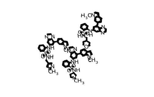 CN1CCC(NS(=O)(=O)c2ccccc2Nc2cc(-c3ccc4ccn(C)c4c3)c3nccnc3c2)C1.Cn1cc(CNS(=O)(=O)c2ccccc2Nc2cc(-c3ccc4ccn(C)c4c3)c3nccnc3c2)cn1.Cn1ccc2ccc(-c3cc(Nc4ccccc4S(=O)(=O)NCC4CCOCC4)cc4nccnc34)cc21